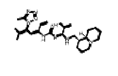 C=C/C(=C\C(=C(C)C)n1nnnc1C)NC(=N)/N=C(/NC[C@@H]1CCCN2CCCC[C@H]12)C(=C)C